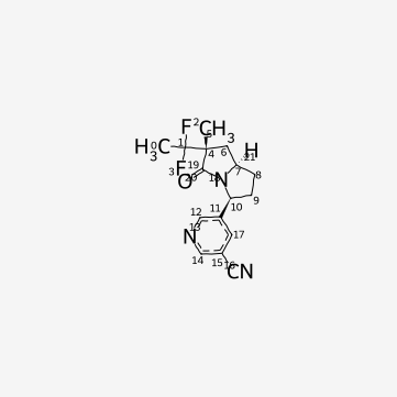 CC(F)(F)[C@]1(C)C[C@H]2CC[C@@H](c3cncc(C#N)c3)N2C1=O